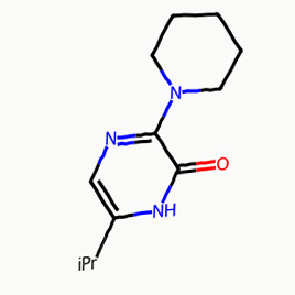 CC(C)c1cnc(N2CCCCC2)c(=O)[nH]1